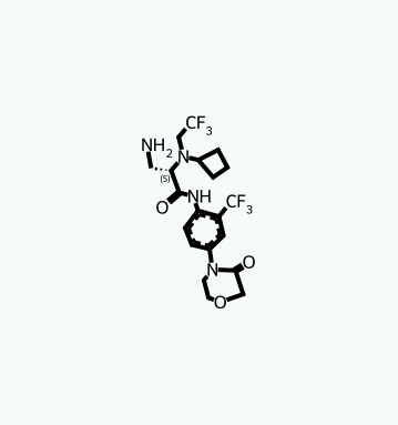 NC[C@@H](C(=O)Nc1ccc(N2CCOCC2=O)cc1C(F)(F)F)N(CC(F)(F)F)C1CCC1